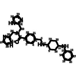 O=C(c1ccc(CNC2CCC(Nc3ccccc3)CC2)cc1)N(Cc1ncc[nH]1)Cc1ncc[nH]1